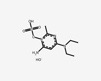 CCN(CC)c1cc(N)[n+](OS(=O)(=O)O)c(C)n1.[OH-]